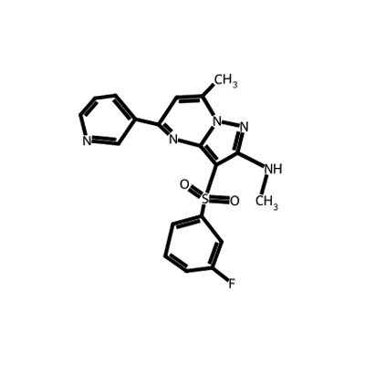 CNc1nn2c(C)cc(-c3cccnc3)nc2c1S(=O)(=O)c1cccc(F)c1